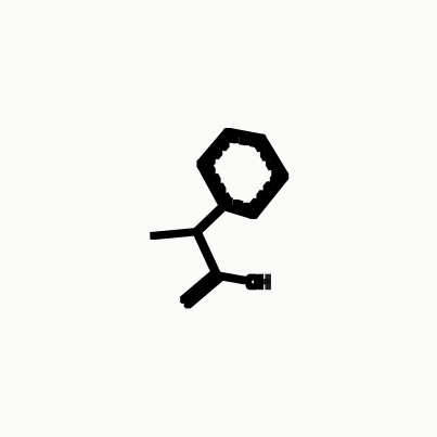 C=C(O)C(C)c1ccccc1